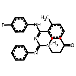 Cc1cccc(C)c1/C(=N\C(=N/c1ccccc1)N1CCC(=O)CC1)Nc1ccc(F)cc1